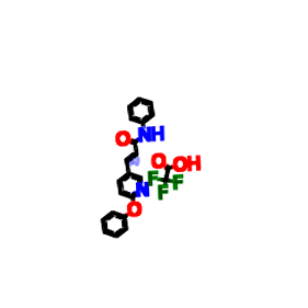 O=C(/C=C/c1ccc(Oc2ccccc2)nc1)Nc1ccccc1.O=C(O)C(F)(F)F